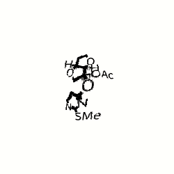 CSc1nccc(O[C@]2(OC(C)=O)CO[C@@H]3CCO[C@H]32)n1